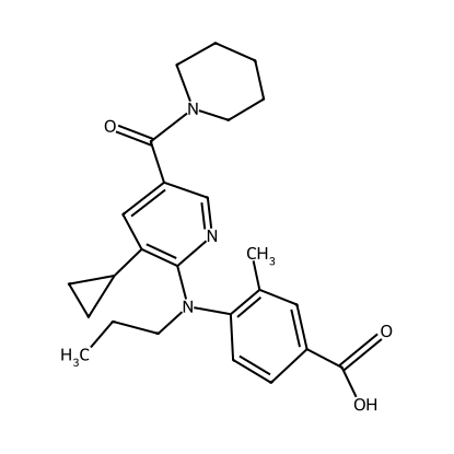 CCCN(c1ccc(C(=O)O)cc1C)c1ncc(C(=O)N2CCCCC2)cc1C1CC1